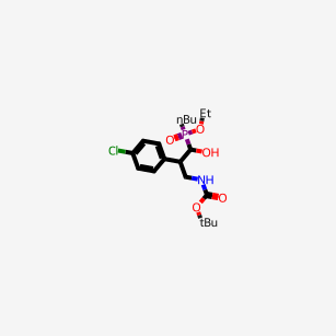 CCCCP(=O)(OCC)C(O)C(CNC(=O)OC(C)(C)C)c1ccc(Cl)cc1